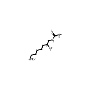 CCCCCCCCCCCCCCC(O)COC(=O)C(C)C